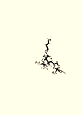 CC1(C)O[C@@H]2[C@H](O1)[C@@H](OCCCO)O[C@@H]2[C@H]1COC(C)(C)O1